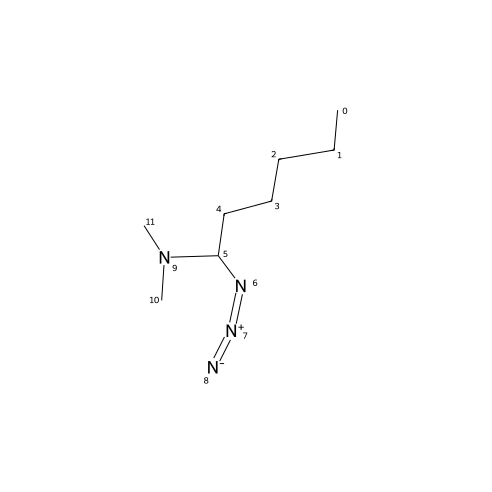 CCCCCC(N=[N+]=[N-])N(C)C